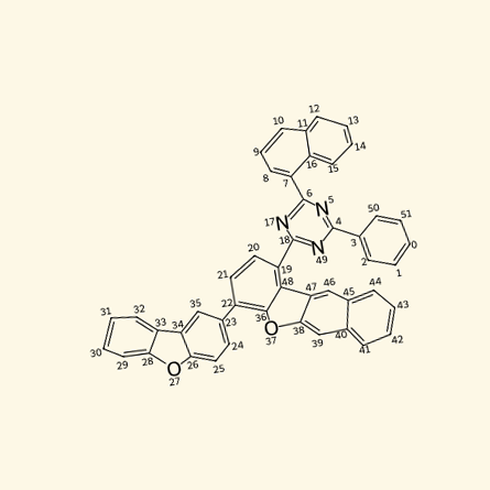 c1ccc(-c2nc(-c3cccc4ccccc34)nc(-c3ccc(-c4ccc5oc6ccccc6c5c4)c4oc5cc6ccccc6cc5c34)n2)cc1